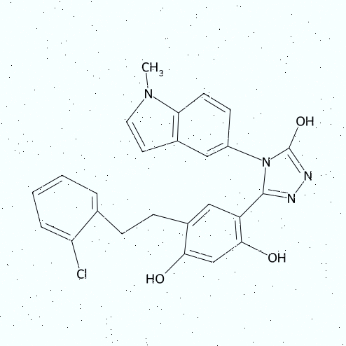 Cn1ccc2cc(-n3c(O)nnc3-c3cc(CCc4ccccc4Cl)c(O)cc3O)ccc21